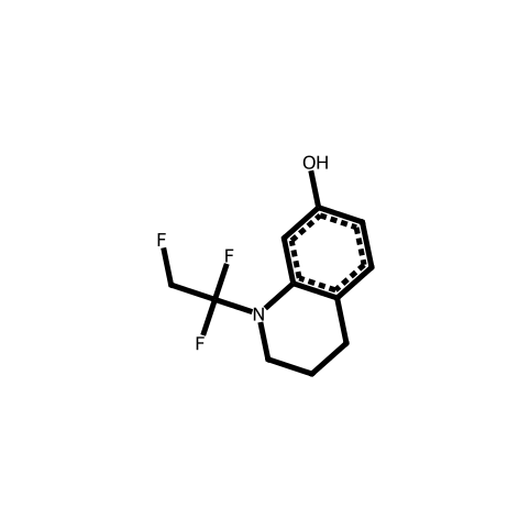 Oc1ccc2c(c1)N(C(F)(F)CF)CCC2